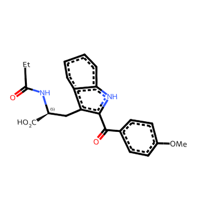 CCC(=O)N[C@@H](Cc1c(C(=O)c2ccc(OC)cc2)[nH]c2ccccc12)C(=O)O